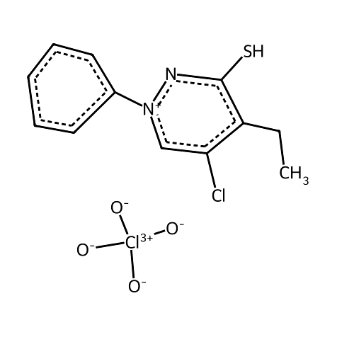 CCc1c(Cl)c[n+](-c2ccccc2)nc1S.[O-][Cl+3]([O-])([O-])[O-]